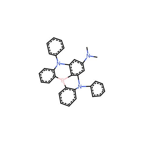 CN(C)c1cc2c3c(c1)N(c1ccccc1)c1ccccc1B3c1ccccc1N2c1ccccc1